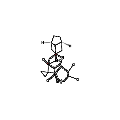 NC(=O)c1ccc(N2[C@@H]3CC[C@H]2C[C@@H](NC(=O)C2(c4ccc(Cl)c(Cl)c4)CC2)C3)nc1